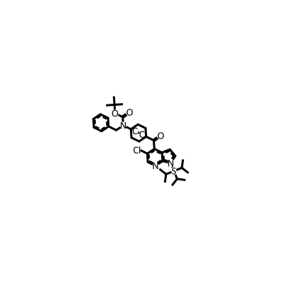 CC(C)S(C(C)C)(C(C)C)n1ccc2c(C(=O)C34CCC(N(Cc5ccccc5)C(=O)OC(C)(C)C)(CC3)CC4)c(Cl)cnc21